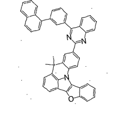 CC1(C)c2cc(-c3nc(-c4cccc(-c5cccc6ccccc56)c4)c4ccccc4n3)ccc2-n2c3c1cccc3c1oc3ccccc3c12